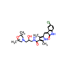 Cc1[nH]c(C=C2C(=O)Nc3ccc(Cl)cc32)c(C)c1C(=O)NCC(O)CN1C[C@@H](C)O[C@@H](C)C1